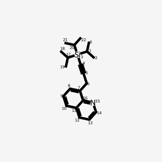 CC(C)[Si](C#CCc1cccc2cccnc12)(C(C)C)C(C)C